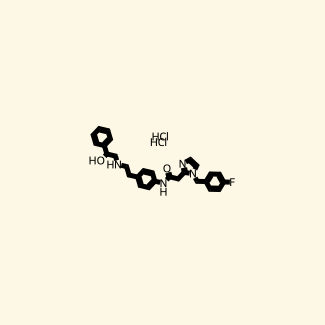 Cl.Cl.O=C(Cc1nccn1Cc1ccc(F)cc1)Nc1ccc(CCNCC(O)c2ccccc2)cc1